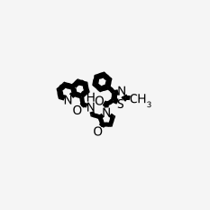 Cc1nc(-c2ccccc2)c(C(=O)N2CCC(=O)C2CNC(=O)c2cccc3cccnc23)s1